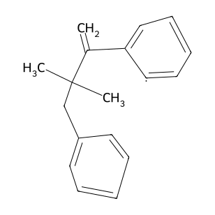 C=C(c1[c]cccc1)C(C)(C)Cc1ccccc1